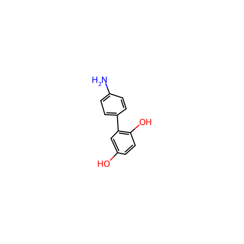 Nc1ccc(-c2cc(O)ccc2O)cc1